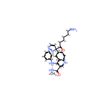 CNC(=O)c1cnc2ccc(C3(C(=O)CCCCCN)C=CN=N3)cc2c1Nc1ccccc1